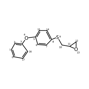 c1ccc(Oc2ccc(SCC3CO3)cc2)cc1